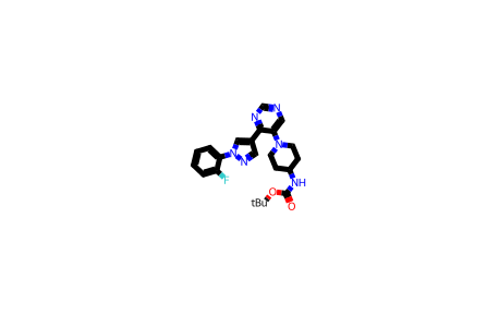 CC(C)(C)OC(=O)NC1CCN(c2cncnc2-c2cnn(-c3ccccc3F)c2)CC1